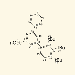 CCCCCCCCc1cc(-c2ccccc2)cc(-c2ccc(C(C)(C)C)c(C(C)(C)C)c2C(C)(C)C)c1